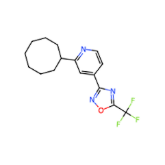 FC(F)(F)c1nc(-c2ccnc(C3CCCCCCC3)c2)no1